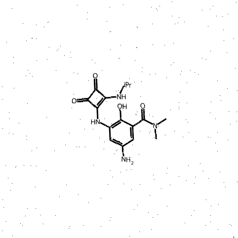 CC(C)Nc1c(Nc2cc(N)cc(C(=O)N(C)C)c2O)c(=O)c1=O